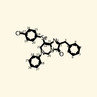 O=C1C(Cc2ccccc2)=NC2=C([Se]c3ccc(Cl)cc3)CN(c3ccccc3)CN12